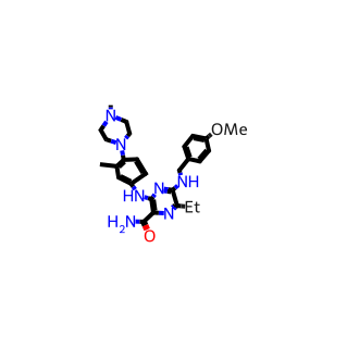 CCc1nc(C(N)=O)c(Nc2ccc(N3CCN(C)CC3)c(C)c2)nc1NCc1ccc(OC)cc1